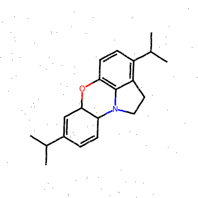 CC(C)C1=CC2Oc3ccc(C(C)C)c4c3N(CC4)C2C=C1